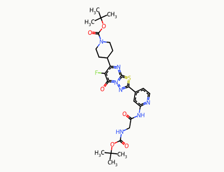 CC(C)(C)OC(=O)NCC(=O)Nc1cc(-c2nn3c(=O)c(F)c(C4CCN(C(=O)OC(C)(C)C)CC4)nc3s2)ccn1